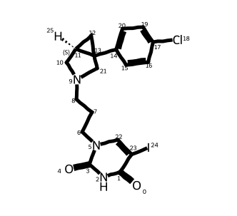 O=c1[nH]c(=O)n(CCCN2C[C@H]3CC3(c3ccc(Cl)cc3)C2)cc1I